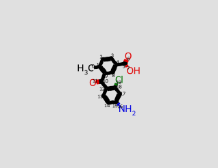 Cc1ccc(C(=O)O)cc1C(=O)c1ccc(N)cc1Cl